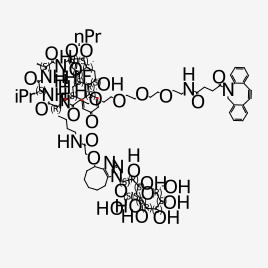 CCCC1O[C@@H]2C[C@H]3[C@@H]4C[C@H](F)C5=CC(=O)C=C[C@]5(C)[C@@]4(F)[C@@H](O)C[C@]3(C)[C@]2(C(=O)CNC(=O)[C@H](C)NC(=O)[C@@H](NC(=O)[C@@H](CCCCNC(=O)COC2CCCCCc3c2nnn3[C@H]2O[C@H](CO)[C@@H]([C@]3(O)O[C@H](CO)[C@@H](O)[C@H](O)[C@H]3O)[C@H](O)[C@H]2O)NC(=O)CCOCCOCCOCCOCCNC(=O)CCC(=O)N2Cc3ccccc3C#Cc3ccccc32)C(C)C)O1